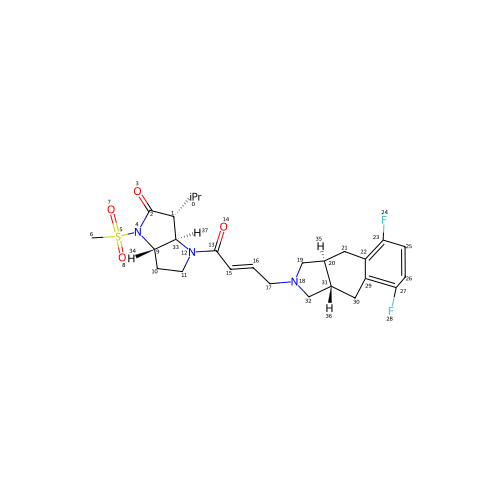 CC(C)[C@H]1C(=O)N(S(C)(=O)=O)[C@H]2CCN(C(=O)/C=C/CN3C[C@H]4Cc5c(F)ccc(F)c5C[C@@H]4C3)[C@H]12